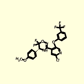 COc1ccc([C@H]2NC(c3cc(Cl)ncc3Oc3cccc(C(F)(F)F)c3)=NOC2(F)F)cc1